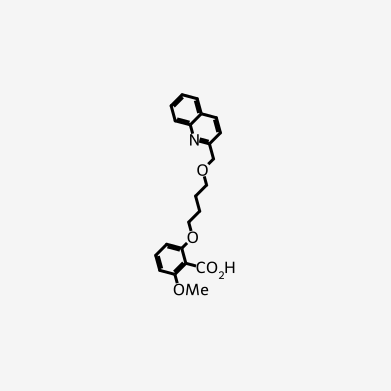 COc1cccc(OCCCCOCc2ccc3ccccc3n2)c1C(=O)O